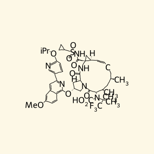 COc1ccc2c(O[C@@H]3C[C@H]4C(=O)N[C@]5(C(=O)NS(=O)(=O)C6CC6)C[C@H]5C=CCC[C@@H](C)C[C@@H](C)[C@H](N(C(=O)O)C(C)(C)C(F)(F)F)C(=O)N4C3)nc(-c3ccc(OC(C)C)nc3)cc2c1